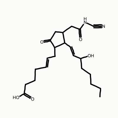 CCCCCC(O)C=CC1C(CC(=O)NC#N)CC(=O)C1CC=CCCCC(=O)O